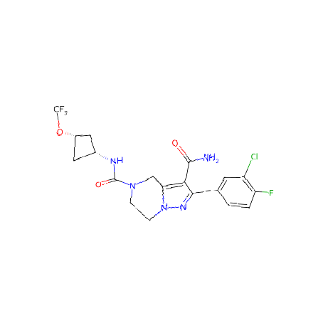 NC(=O)c1c(-c2ccc(F)c(Cl)c2)nn2c1CN(C(=O)N[C@H]1C[C@@H](OC(F)(F)F)C1)CC2